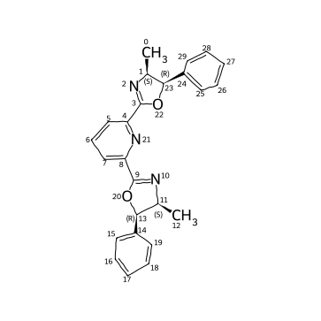 C[C@@H]1N=C(c2cccc(C3=N[C@@H](C)[C@@H](c4ccccc4)O3)n2)O[C@@H]1c1ccccc1